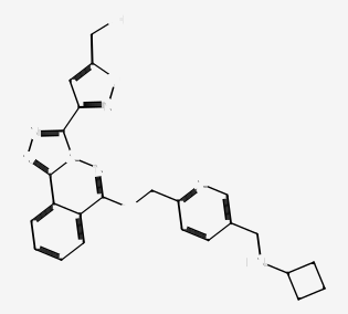 OCc1cc(-c2nnc3c4ccccc4c(OCc4ccc(CNC5CCC5)cn4)nn23)no1